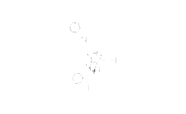 Oc1nc(C2CCCN(Cc3ccccc3)C2)nc2c1nnn2Cc1cccc(Cl)c1